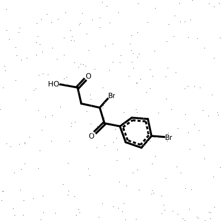 O=C(O)CC(Br)C(=O)c1ccc(Br)cc1